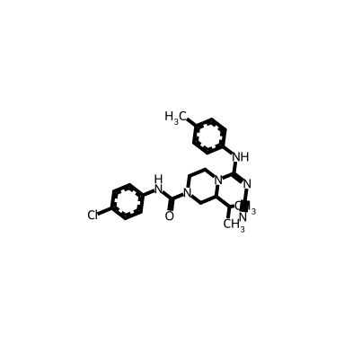 Cc1ccc(N/C(=N/C#N)N2CCN(C(=O)Nc3ccc(Cl)cc3)CC2C(C)C)cc1